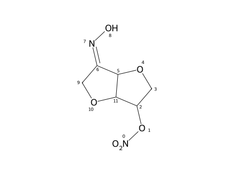 O=[N+]([O-])OC1COC2C(=NO)COC12